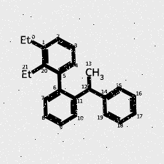 CCc1cccc(-c2ccccc2C(C)c2ccccc2)c1CC